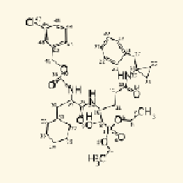 CCOP(=O)(OCC)C(O)C(CCC(=O)NC1(Cc2ccccc2)CC1)NC(=O)C(CC1CCCCC1)NC(=O)OCc1cccc(Cl)c1